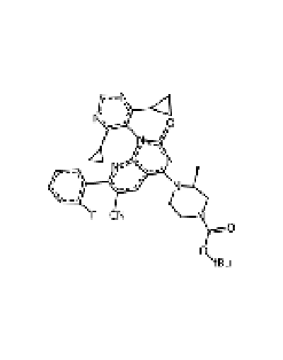 C[C@H]1CN(C(=O)OC(C)(C)C)CCN1c1nc(=O)n(-c2c(C3CC3)ncnc2C2CC2)c2nc(-c3ccccc3F)c(C#N)cc12